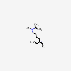 C=C/C(=C\CC)CCCCN(CCCC)C(=C)C